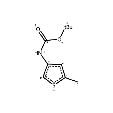 Cc1cc(NC(=O)OC(C)(C)C)cs1